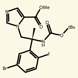 COC(=O)c1cncn1C[C@](C)(NC(=O)OC(C)(C)C)c1cc(Br)ccc1F